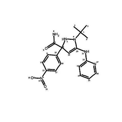 CC(C)(C)N1NC(C(N)=O)(c2ccc([N+](=O)[O-])cc2)C=C1Nc1ccccn1